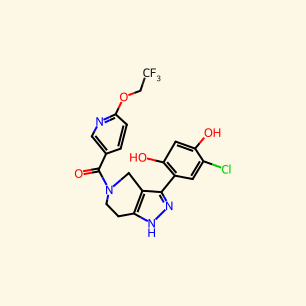 O=C(c1ccc(OCC(F)(F)F)nc1)N1CCc2[nH]nc(-c3cc(Cl)c(O)cc3O)c2C1